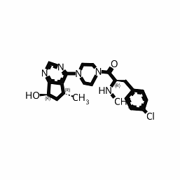 CN[C@H](Cc1ccc(Cl)cc1)C(=O)N1CCN(c2ncnc3c2[C@H](C)C[C@H]3O)CC1